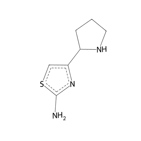 Nc1nc(C2CCCN2)cs1